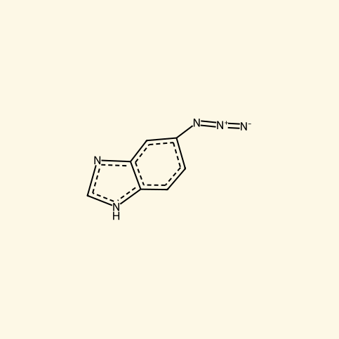 [N-]=[N+]=Nc1ccc2[nH]cnc2c1